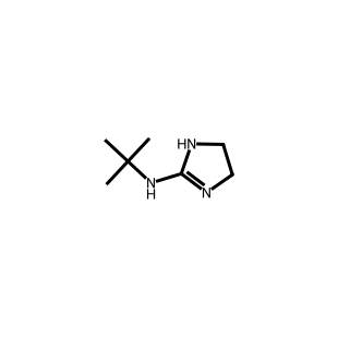 CC(C)(C)NC1=NCCN1